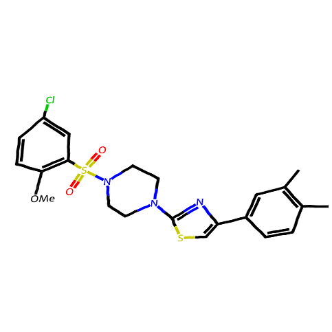 COc1ccc(Cl)cc1S(=O)(=O)N1CCN(c2nc(-c3ccc(C)c(C)c3)cs2)CC1